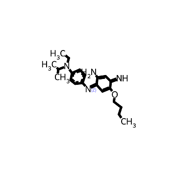 CCCCOC1=C/C(=N/c2ccc(N(CC)C(C)C)cc2)C(N)=CC1=N